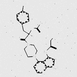 CC(C)(C)[C@@](Cc1ccc(Cl)cc1)(OC(N)=O)C(=O)N1CCN(c2ccnc3[nH]cc(NC(=O)CO)c23)CC1